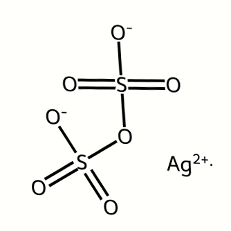 O=S(=O)([O-])OS(=O)(=O)[O-].[Ag+2]